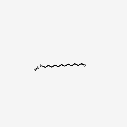 [N-]=[N+]=NCCCCCCCCCCCC=O